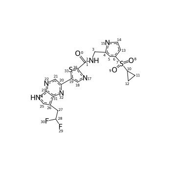 O=C(NCc1cc(S(=O)(=O)C2CC2)ccn1)c1ncc(-c2cnc3[nH]cc(CC(F)F)c3n2)s1